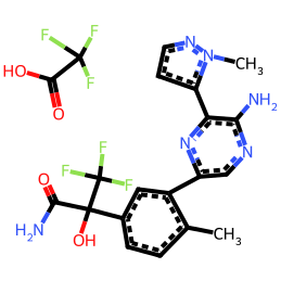 Cc1ccc(C(O)(C(N)=O)C(F)(F)F)cc1-c1cnc(N)c(-c2ccnn2C)n1.O=C(O)C(F)(F)F